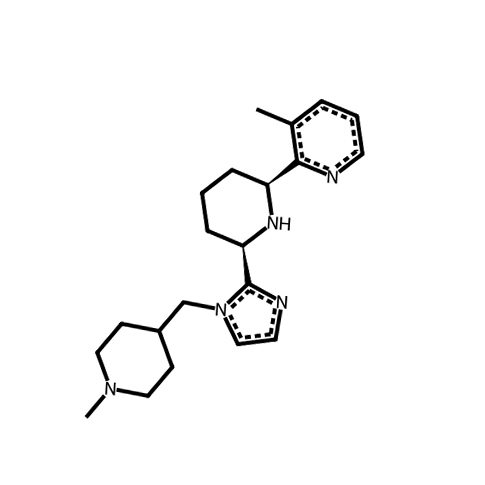 Cc1cccnc1[C@@H]1CCC[C@H](c2nccn2CC2CCN(C)CC2)N1